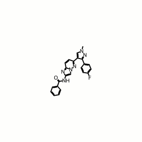 Cn1cc(-c2ccc3nc(NC(=O)c4ccccc4)cn3n2)c(-c2ccc(F)cc2)n1